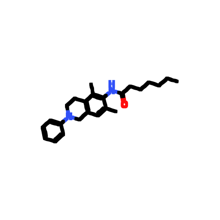 CCCCCCC(=O)Nc1c(C)cc2c(c1C)CCN(c1ccccc1)C2